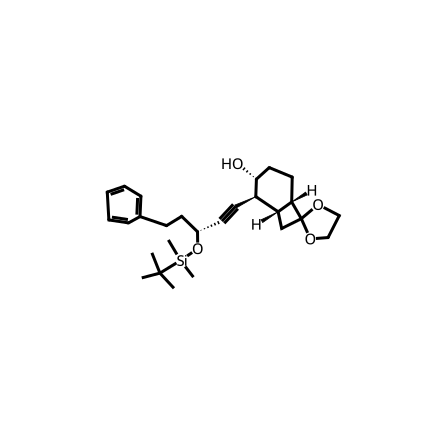 CC(C)(C)[Si](C)(C)O[C@@H](C#C[C@@H]1[C@H]2CC3(OCCO3)[C@H]2CC[C@H]1O)CCc1ccccc1